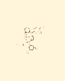 C=C(Cl)/C=C\C(C)=C(/c1ccccc1)c1ccc(N(C(=O)OC(C)(C)C)c2cc([N+](=O)[O-])cc([N+](=O)[O-])c2)n1B(F)F